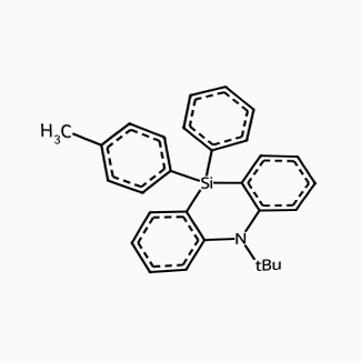 Cc1ccc([Si]2(c3ccccc3)c3ccccc3N(C(C)(C)C)c3ccccc32)cc1